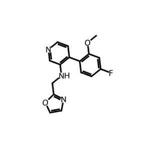 COc1cc(F)ccc1-c1ccncc1NCc1ncco1